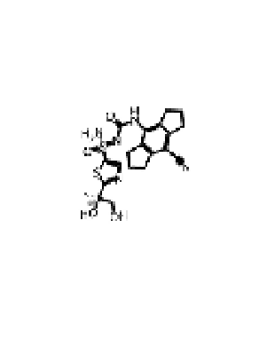 C[C@@](O)(CO)c1ncc([S@@](N)(=O)=NC(=O)Nc2c3c(c(C#N)c4c2CCC4)CCC3)s1